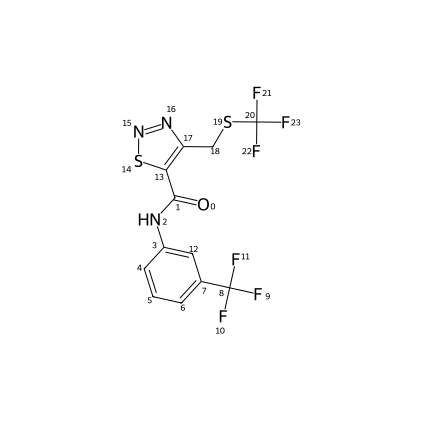 O=C(Nc1cccc(C(F)(F)F)c1)c1snnc1CSC(F)(F)F